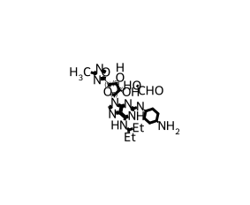 CCC(CC)Nc1nc(N[C@H]2CC[C@H](N)CC2)nc2c1ncn2[C@@H]1O[C@H](c2nc(C)no2)[C@@H](O)[C@H]1O.O=CO